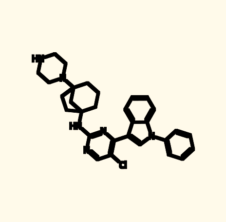 Clc1cnc(NC23CCCC(N4CCNCC4)(CC2)C3)nc1-c1cn(-c2ccccc2)c2ccccc12